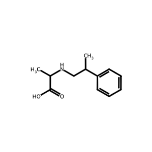 CC(NCC(C)c1ccccc1)C(=O)O